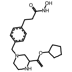 C=C(OC1CCCC1)C1CN(Cc2ccc(CCC(=O)NO)cc2)CCN1